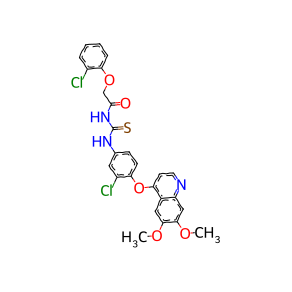 COc1cc2nccc(Oc3ccc(NC(=S)NC(=O)COc4ccccc4Cl)cc3Cl)c2cc1OC